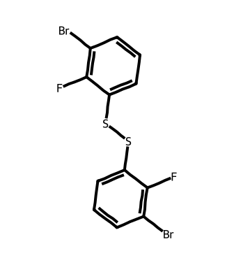 Fc1c(Br)cccc1SSc1cccc(Br)c1F